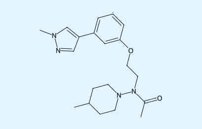 CC(=O)N(CCOc1c[c]cc(-c2cnn(C)c2)c1)N1CCC(C)CC1